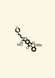 COc1ccccc1N1C(=O)c2ccc(C(=O)NCCCN3CCOCC3)cc2C1=O.Cl